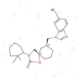 CC1(C)CCCCC1N1C[C@@]2(CCC[C@H](Cn3cnc4ccc(C#N)cc43)C2)OC1=O